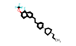 CCC[C@H]1CC[C@H](c2ccc(CCc3ccc4c(F)c(OC(F)(F)F)ccc4c3)cc2)CC1